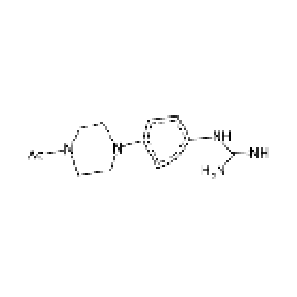 CC(=O)N1CCN(c2ccc(NC(=N)N)cc2)CC1